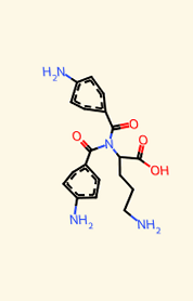 NCCCC(C(=O)O)N(C(=O)c1ccc(N)cc1)C(=O)c1ccc(N)cc1